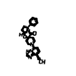 C#Cc1ccc(N2CCC3(CC2)O[C@@H]2CC[C@@H](c4ccccc4)N2C3=O)n2ncnc12